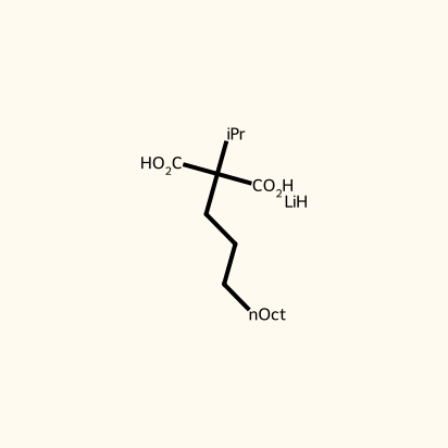 CCCCCCCCCCCC(C(=O)O)(C(=O)O)C(C)C.[LiH]